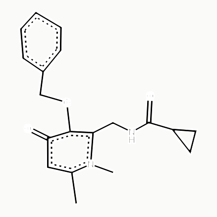 Cc1cc(=O)c(OCc2ccccc2)c(CNC(=O)C2CC2)n1C